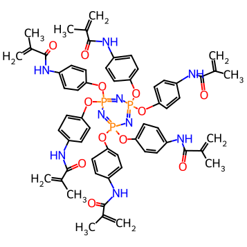 C=C(C)C(=O)Nc1ccc(OP2(Oc3ccc(NC(=O)C(=C)C)cc3)=NP(Oc3ccc(NC(=O)C(=C)C)cc3)(Oc3ccc(NC(=O)C(=C)C)cc3)=NP(Oc3ccc(NC(=O)C(=C)C)cc3)(Oc3ccc(NC(=O)C(=C)C)cc3)=N2)cc1